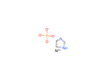 O=P([O-])([O-])[O-].[Ni+3].c1c[nH]cn1